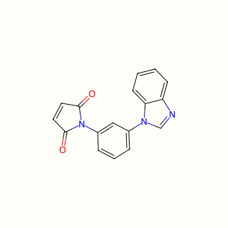 O=C1C=CC(=O)N1c1cccc(-n2cnc3ccccc32)c1